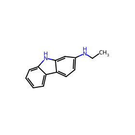 CCNc1ccc2c(c1)[nH]c1ccccc12